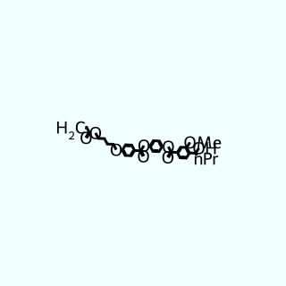 C=CC(=O)OCCCCOc1ccc(C(=O)Oc2ccc(OC(=O)c3ccc(C(O)CCC)c(OC)c3)cc2)cc1